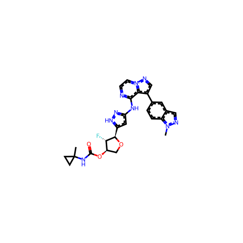 Cn1ncc2cc(-c3cnn4ccnc(Nc5cc([C@H]6OC[C@@H](OC(=O)NC7(C)CC7)[C@@H]6F)[nH]n5)c34)ccc21